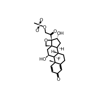 C[C@]12C=CC(=O)C=C1CC[C@H]1[C@@H]3C[C@@H](O)[C@@]4(C(=O)COS(C)(=O)=O)OC[C@]34C[C@H](O)[C@@]12F